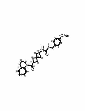 COc1ccc(CNC(=O)NC2CC3(C2)CC(C(=O)N2CCCc4cnccc42)C3)cc1